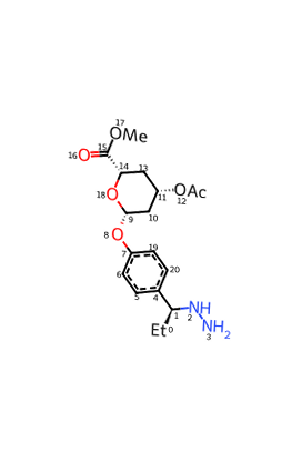 CC[C@H](NN)c1ccc(O[C@H]2C[C@@H](OC(C)=O)C[C@@H](C(=O)OC)O2)cc1